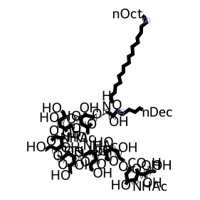 CCCCCCCC/C=C\CCCCCCCCCCCCCCCC(=O)N[C@@H](CO[C@@H]1OC(CO)[C@@H](O[C@@H]2OC(CO)[C@H](O)[C@H](O[C@@H]3OC(CO)[C@@H](O[C@@H]4OC(CO)[C@H](O)[C@H](O[C@@H]5OC(CO)[C@@H](O[C@@H]6OC(CO[C@]7(C(=O)O)CC(O)[C@@H](NC(C)=O)C([C@H](O)[C@H](O)CO)O7)[C@H](O)[C@H](O)C6O)[C@H](O)C5NC(C)=O)C4O)[C@H](O)C3NC(C)=O)C2O)[C@H](O)C1O)[C@H](O)/C=C/CCCCCCCCCCCCC